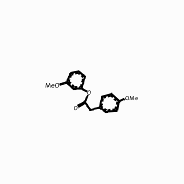 COc1ccc(CC(=O)Oc2cccc(OC)c2)cc1